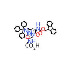 O=C(O)CNC(=O)CNC(=O)[C@H](Cc1cn(C(c2ccccc2)(c2ccccc2)c2ccccc2)cn1)NC(=O)OCC1c2ccccc2-c2ccccc21